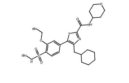 CC(C)(C)COc1cc(-c2sc(C(=O)NC3CCOCC3)nc2CC2CCCCC2)ccc1S(=O)(=O)NC(C)(C)C